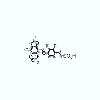 Cc1cc2c(F)c(OC(F)(F)F)c(F)c(COc3ccc(CCC(=O)O)c(F)c3F)c2o1